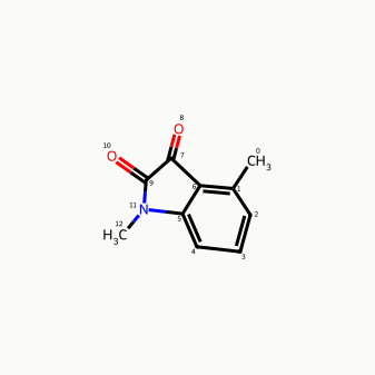 Cc1cccc2c1C(=O)C(=O)N2C